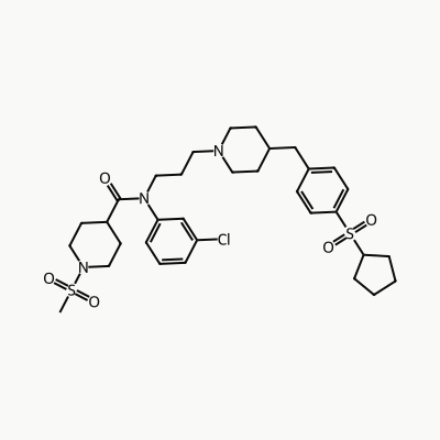 CS(=O)(=O)N1CCC(C(=O)N(CCCN2CCC(Cc3ccc(S(=O)(=O)C4CCCC4)cc3)CC2)c2cccc(Cl)c2)CC1